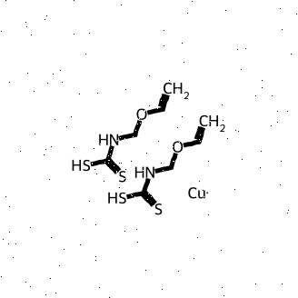 C=COCNC(=S)S.C=COCNC(=S)S.[Cu]